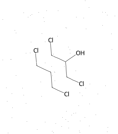 ClCCCCl.OC(CCl)CCl